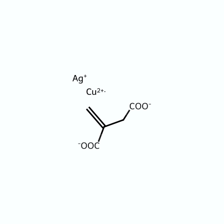 C=C(CC(=O)[O-])C(=O)[O-].[Ag+].[Cu+2]